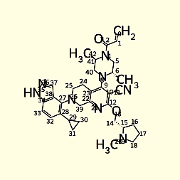 C=CC(=O)N1C[C@H](C)N(c2c(C#N)c(OC[C@@H]3CCCN3C)nc3c2CCN(c2c(C4CC4)ccc4[nH]ncc24)C3)C[C@H]1C